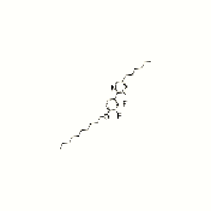 CCCCCCCCCCOc1ccc(-c2ncc(CCCCCC)cn2)c(F)c1F